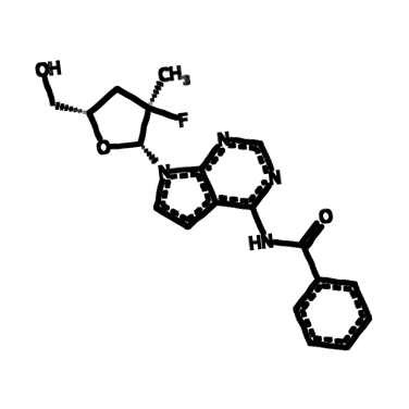 C[C@@]1(F)C[C@@H](CO)O[C@H]1n1ccc2c(NC(=O)c3ccccc3)ncnc21